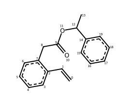 C=Cc1ccccc1CC(=O)OC(C)c1ccccc1